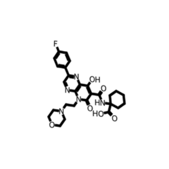 O=C(NC1(C(=O)O)CCCCC1)c1c(O)c2nc(-c3ccc(F)cc3)cnc2n(CCN2CCOCC2)c1=O